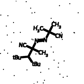 CC(C)(C#N)N=NC(C)(C#N)C(C(C)(C)C)C(C)(C)C